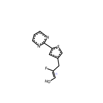 O/C=C(\F)Cc1csc(-c2ncccn2)c1